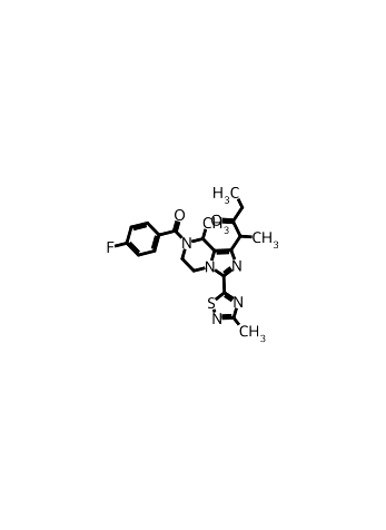 CCC(=O)C(C)c1nc(-c2nc(C)ns2)n2c1C(C)N(C(=O)c1ccc(F)cc1)CC2